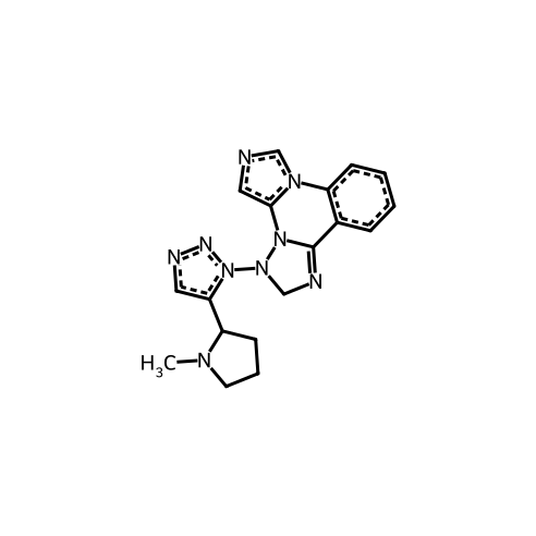 CN1CCCC1c1cnnn1N1CN=C2c3ccccc3-n3cncc3N21